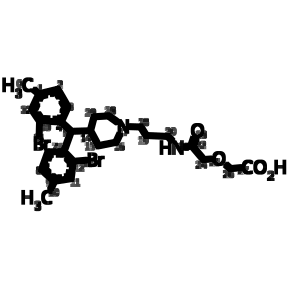 Cc1ccc(C(c2ccc(C)cc2Br)C2CCN(CCCNC(=O)COCC(=O)O)CC2)c(Br)c1